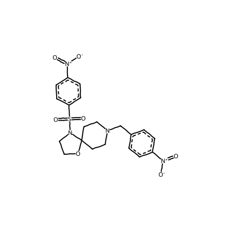 O=[N+]([O-])c1ccc(CN2CCC3(CC2)OCCN3S(=O)(=O)c2ccc([N+](=O)[O-])cc2)cc1